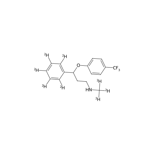 [2H]c1c([2H])c([2H])c(C(CCNC([2H])([2H])[2H])Oc2ccc(C(F)(F)F)cc2)c([2H])c1[2H]